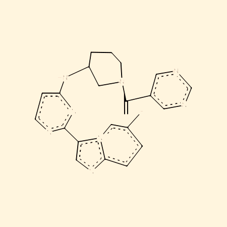 O=C(c1cncnc1)N1CCCC(Nc2ccnc(-c3cnc4ccc(F)cn34)n2)C1